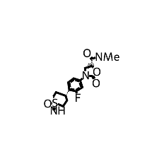 CNC(=O)[C@H]1CN(c2ccc([C@H]3CC[S@](=N)(=O)CC3)c(F)c2)C(=O)O1